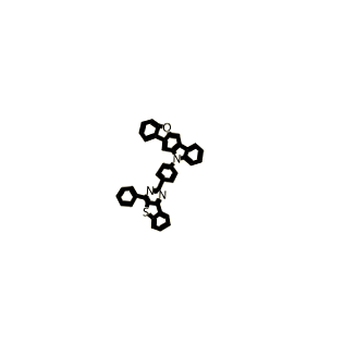 c1ccc(-c2nc(-c3ccc(-n4c5ccccc5c5cc6oc7ccccc7c6cc54)cc3)nc3c2sc2ccccc23)cc1